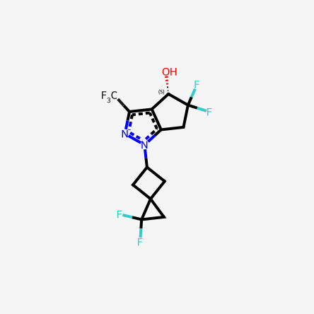 O[C@H]1c2c(C(F)(F)F)nn(C3CC4(C3)CC4(F)F)c2CC1(F)F